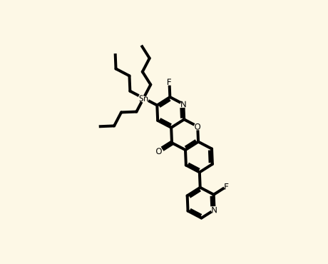 CCC[CH2][Sn]([CH2]CCC)([CH2]CCC)[c]1cc2c(=O)c3cc(-c4cccnc4F)ccc3oc2nc1F